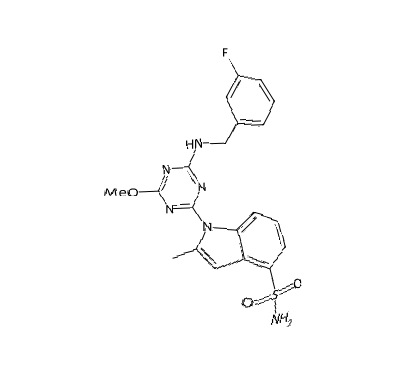 COc1nc(NCc2cccc(F)c2)nc(-n2c(C)cc3c(S(N)(=O)=O)cccc32)n1